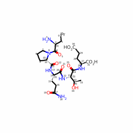 CC(C)C[C@H](N)C(=O)N1CCC[C@H]1C(=O)N[C@@H](CCC(N)=O)C(=O)N[C@H](C(=O)N[C@@H](CCC(=O)O)C(=O)O)[C@@H](C)O